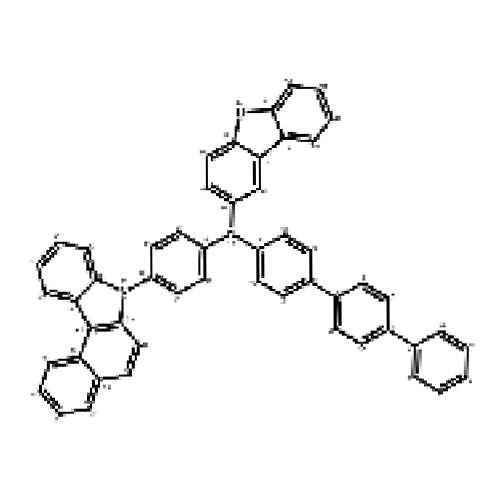 c1ccc(-c2ccc(-c3ccc(N(c4ccc(-n5c6ccccc6c6c7ccccc7ccc65)cc4)c4ccc5oc6ccccc6c5c4)cc3)cc2)cc1